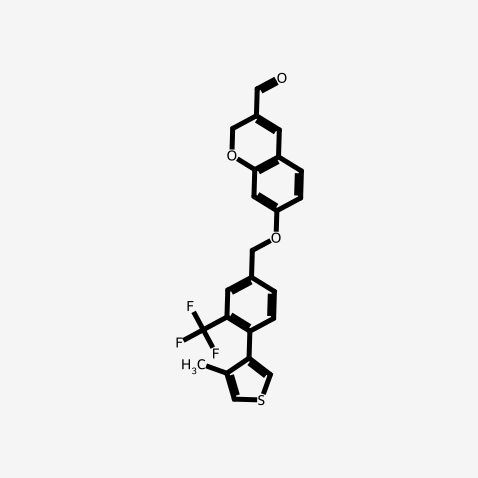 Cc1cscc1-c1ccc(COc2ccc3c(c2)OCC(C=O)=C3)cc1C(F)(F)F